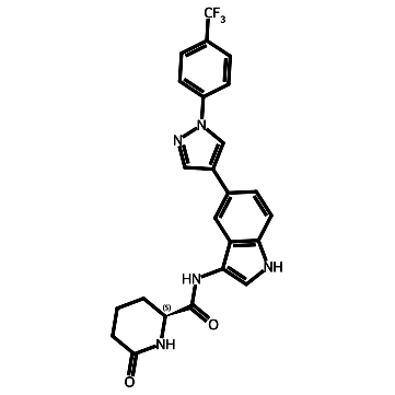 O=C1CCC[C@@H](C(=O)Nc2c[nH]c3ccc(-c4cnn(-c5ccc(C(F)(F)F)cc5)c4)cc23)N1